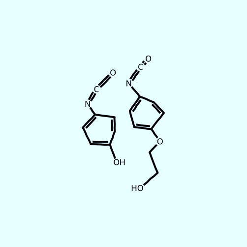 O=C=Nc1ccc(O)cc1.O=C=Nc1ccc(OCCO)cc1